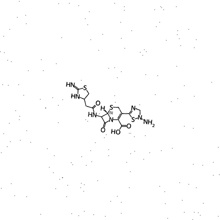 N=C1NC(CC(=O)NC2C(=O)N3C(C(=O)O)=C(C4=NCN(N)S4)CS[C@@H]23)CS1